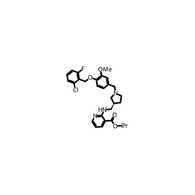 COc1cc(CN2CC[C@@H](CNc3ncccc3C(=O)OC(C)C)C2)ccc1OCc1c(F)cccc1Cl